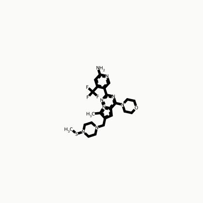 CSN1CCN(Cc2cc3c(N4CCOCC4)nc(-c4cnc(N)cc4C(F)(F)F)nn3c2C)CC1